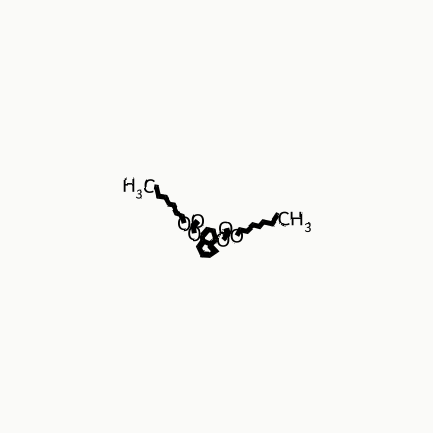 CCCCCCCCOC(=O)Oc1ccc(OC(=O)OCCCCCCCC)c2ccccc12